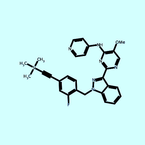 COc1cnc(-c2nn(Cc3ccc(C#C[Si](C)(C)C)cc3F)c3ccccc23)nc1Nc1ccncc1